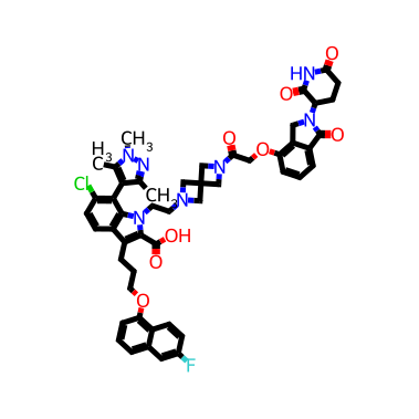 Cc1nn(C)c(C)c1-c1c(Cl)ccc2c(CCCOc3cccc4cc(F)ccc34)c(C(=O)O)n(CCN3CC4(C3)CN(C(=O)COc3cccc5c3CN(C3CCC(=O)NC3=O)C5=O)C4)c12